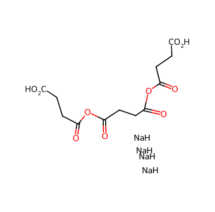 O=C(O)CCC(=O)OC(=O)CCC(=O)OC(=O)CCC(=O)O.[NaH].[NaH].[NaH].[NaH]